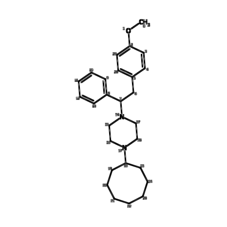 COc1ccc(CC(c2ccccc2)N2CCN(C3CCCCCCC3)CC2)cc1